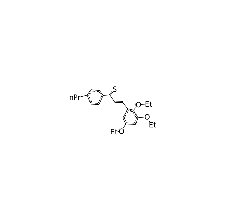 CCCc1ccc(C(=S)C=Cc2cc(OCC)cc(OCC)c2OCC)cc1